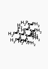 PP(P)P(PP(P(P(P)P)P(P)P)P(P(P)P)P(P)P)P(P)P